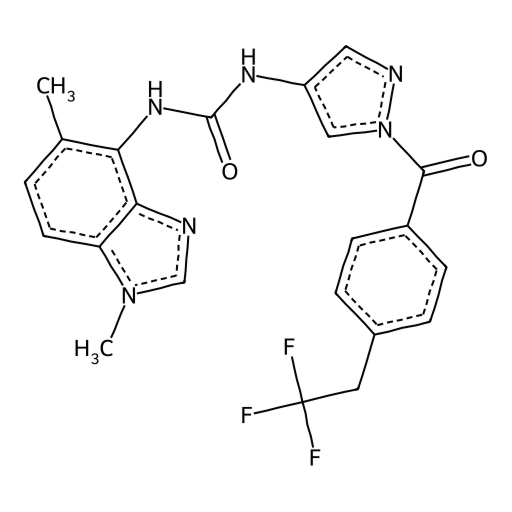 Cc1ccc2c(ncn2C)c1NC(=O)Nc1cnn(C(=O)c2ccc(CC(F)(F)F)cc2)c1